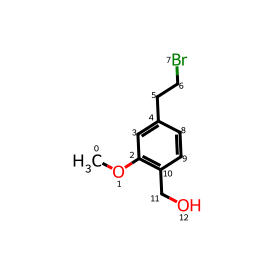 COc1cc(CCBr)ccc1CO